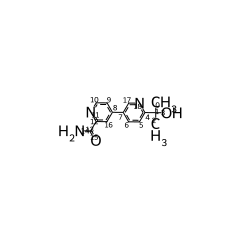 CC(C)(O)c1ccc(-c2ccnc(C(N)=O)c2)cn1